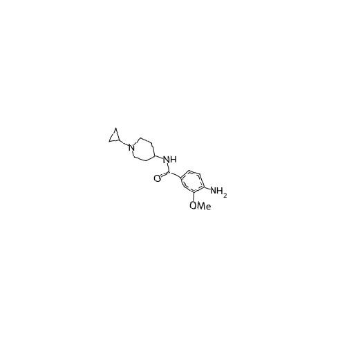 COc1cc(C(=O)NC2CCN(C3CC3)CC2)ccc1N